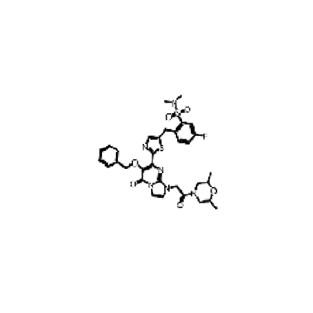 CC1CN(C(=O)Cn2ccn3c(=O)c(OCc4ccccc4)c(-c4ncc(Cc5ccc(F)cc5S(=O)(=O)N(C)C)s4)nc23)CC(C)O1